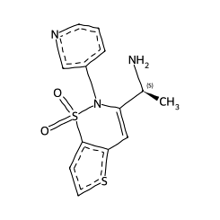 C[C@H](N)C1=Cc2sccc2S(=O)(=O)N1c1cccnc1